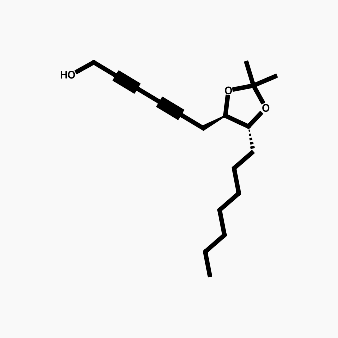 CCCCCCC[C@H]1OC(C)(C)O[C@@H]1CC#CC#CCO